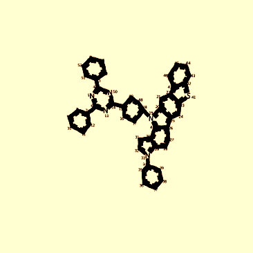 c1ccc(-c2nc(-c3ccccc3)nc(-c3ccc(-n4c5cc6c(cc5c5ccc7c(ccn7-c7ccccc7)c54)sc4ccccc46)cc3)n2)cc1